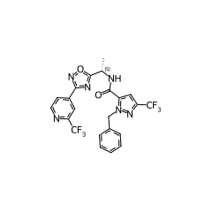 C[C@H](NC(=O)c1cc(C(F)(F)F)nn1Cc1ccccc1)c1nc(-c2ccnc(C(F)(F)F)c2)no1